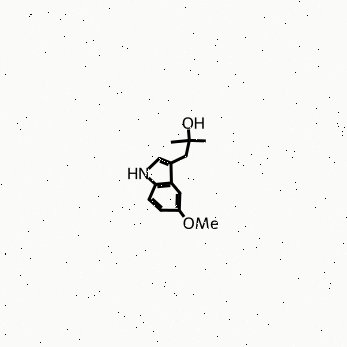 COc1ccc2[nH]cc(CC(C)(C)O)c2c1